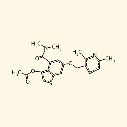 CC(=O)Oc1csc2cc(OCc3ccc(C)nc3C)cc(C(=O)N(C)C)c12